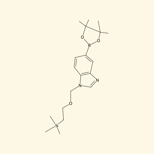 CC1(C)OB(c2ccc3c(c2)ncn3COCC[Si](C)(C)C)OC1(C)C